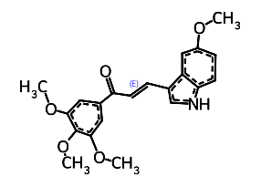 COc1ccc2[nH]cc(/C=C/C(=O)c3cc(OC)c(OC)c(OC)c3)c2c1